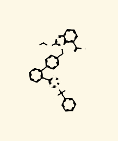 CCOc1nc2cccc(C(=O)O)c2n1Cc1ccc(-c2ccccc2-c2nnn(C(C)(C)c3ccccc3)n2)cc1